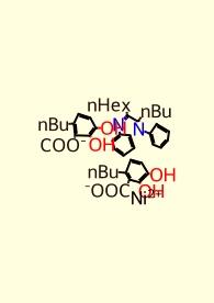 CCCCCCC(=Nc1ccccc1)C(CCCC)=Nc1ccccc1.CCCCc1ccc(O)c(O)c1C(=O)[O-].CCCCc1ccc(O)c(O)c1C(=O)[O-].[Ni+2]